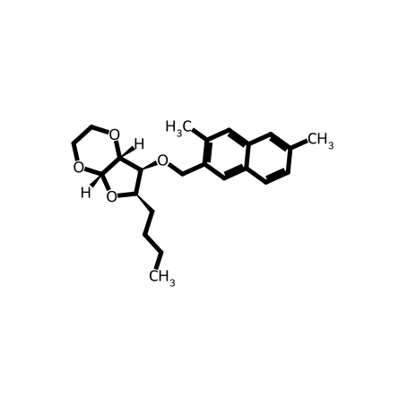 CCCC[C@H]1O[C@@H]2OCCO[C@@H]2[C@H]1OCc1cc2ccc(C)cc2cc1C